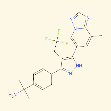 Cc1cc(-c2[nH]nc(-c3ccc(C(C)(C)N)cc3)c2CC(F)(F)F)cn2ncnc12